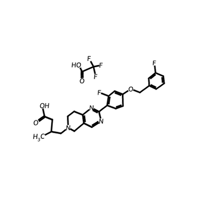 CC(CC(=O)O)CN1CCc2nc(-c3ccc(OCc4cccc(F)c4)cc3F)ncc2C1.O=C(O)C(F)(F)F